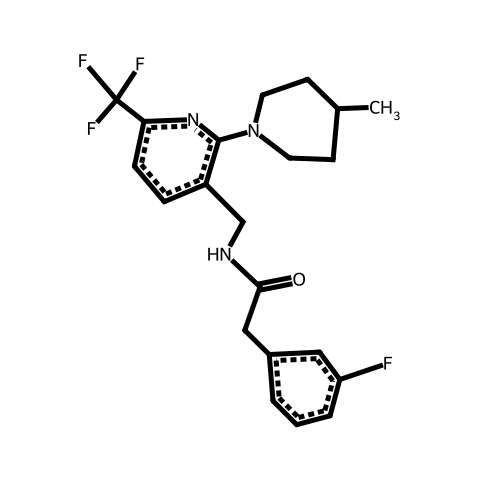 CC1CCN(c2nc(C(F)(F)F)ccc2CNC(=O)Cc2cccc(F)c2)CC1